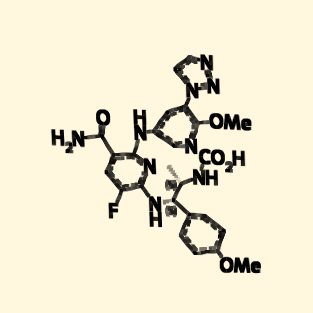 COc1ccc([C@H](Nc2nc(Nc3cnc(OC)c(-n4ccnn4)c3)c(C(N)=O)cc2F)[C@H](C)NC(=O)O)cc1